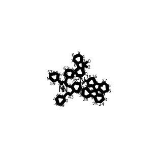 CC1(C)c2ccccc2-c2ccc(N(c3ccc4c(c3)C3(c5ccccc5-c5ccccc53)c3ccccc3-4)c3ccc4cc(-c5ccccc5)n5nc(-c6ccccc6)c(-c6ccccc6)c5c4c3)cc21